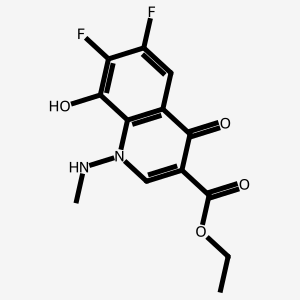 CCOC(=O)c1cn(NC)c2c(O)c(F)c(F)cc2c1=O